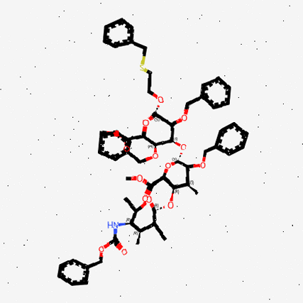 COC(=O)C1O[C@H](O[C@@H]2C(OCc3ccccc3)[C@@H](OCCSCc3ccccc3)OC(C(=O)OC)[C@@H]2OCc2ccccc2)C(OCc2ccccc2)[C@@H](C)[C@H]1O[C@H]1OC(C)[C@H](NC(=O)OCc2ccccc2)[C@H](C)C1C